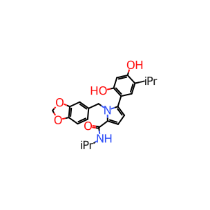 CC(C)NC(=O)c1ccc(-c2cc(C(C)C)c(O)cc2O)n1Cc1ccc2c(c1)OCO2